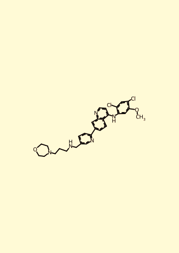 COc1cc(Nc2ccnc3cc(-c4ccc(CNCCCN5CCOCC5)cn4)ccc23)c(Cl)cc1Cl